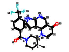 C[C@@H]1CCN(C(=O)c2ccc(C(F)(F)F)cc2)C[C@@H]1n1ccc(=O)c2cnc3[nH]ccc3c21